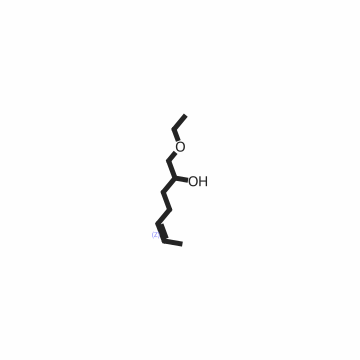 C/C=C\CCC(O)COCC